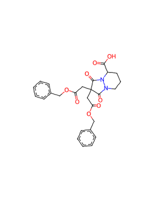 O=C(CC1(CC(=O)OCc2ccccc2)C(=O)N2CCCC(C(=O)O)N2C1=O)OCc1ccccc1